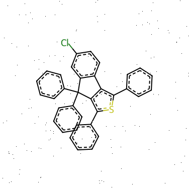 Clc1ccc2c(c1)C(c1ccccc1)(c1ccccc1)c1c(-c3ccccc3)sc(-c3ccccc3)c1-2